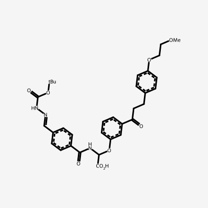 COCCOc1ccc(CCC(=O)c2cccc(OC(NC(=O)c3ccc(C=NNC(=O)OC(C)(C)C)cc3)C(=O)O)c2)cc1